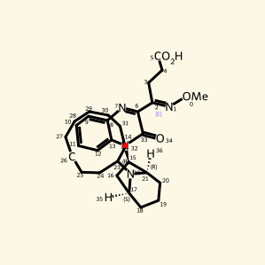 CO/N=C(\CCC(=O)O)c1nc2ccccc2n([C@@H]2C[C@@H]3CCC[C@H]2N3C2CCCCCCCCC2)c1=O